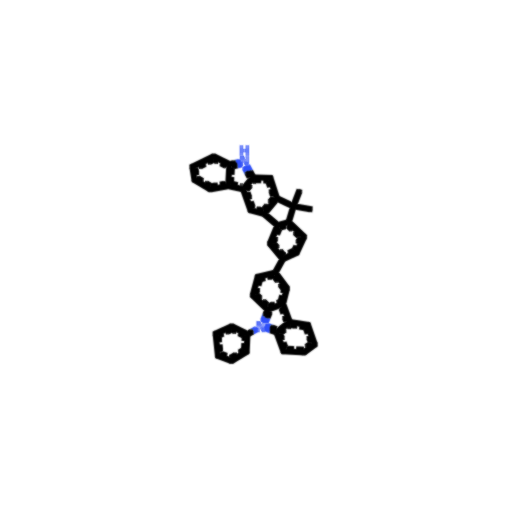 CC1(C)c2ccc(-c3ccc4c(c3)c3ccccc3n4-c3ccccc3)cc2-c2cc3c(cc21)[nH]c1ccccc13